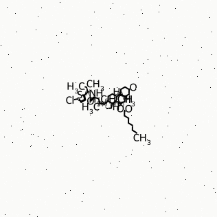 CCCCCCCC(=O)O[C@@H]1C[C@@H]2CC(=O)CC[C@]2(C)[C@H]2CC[C@]3(C)[C@@H]([C@H](C)CC(=O)N[C@@H](c4ccc(Cl)s4)C(C)C)CC[C@H]3[C@H]12